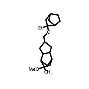 CCC1(OCC2CC3C4CC(C3C2)C(C)(OC)C4)CC2CCC1C2